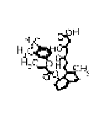 CCC(Oc1ccc(C)c(C)c1)C(=O)OC1CCC=C2C=CC(C)C(CCC(O)CC(O)CC(=O)O)C21